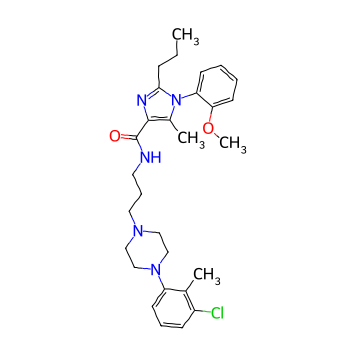 CCCc1nc(C(=O)NCCCN2CCN(c3cccc(Cl)c3C)CC2)c(C)n1-c1ccccc1OC